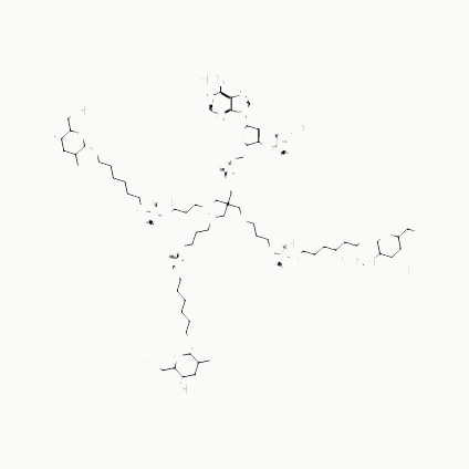 CC(=O)NC1[C@H](OCCCCCCOP(=O)(O)OCCCOCC(COCCCOP(=O)(O)OCCCCCCO[C@@H]2OC(CO)[C@H](O)[C@H](O)C2C)(COCCCOP(=O)(O)OCCCCCCO[C@@H]2OC(CO)[C@H](O)[C@H](O)C2C)COP(=O)(O)OC[C@H]2O[C@@H](n3cnc4c(N)ncnc43)CC2OP(=O)(O)OC(C)C)OC(CO)[C@H](O)[C@@H]1O